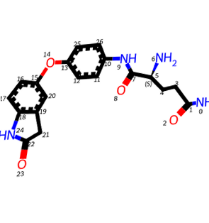 NC(=O)CC[C@H](N)C(=O)Nc1ccc(Oc2ccc3c(c2)CC(=O)N3)cc1